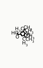 CC(C)(C)c1cc(C(=O)O)cc(C(C)(C)C)c1N=O